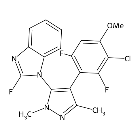 COc1cc(F)c(-c2c(C)nn(C)c2-n2c(F)nc3ccccc32)c(F)c1Cl